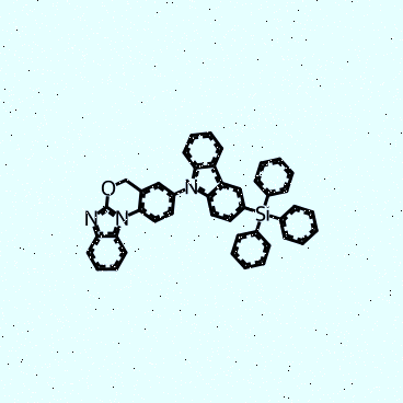 c1ccc([Si](c2ccccc2)(c2ccccc2)c2ccc3c(c2)c2ccccc2n3-c2ccc3c(c2)COc2nc4ccccc4n2-3)cc1